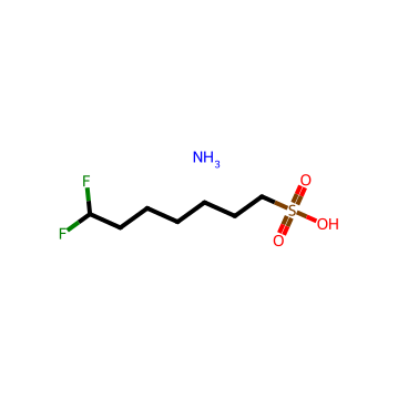 N.O=S(=O)(O)CCCCCCC(F)F